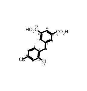 O=C(O)c1cc(Cc2ccc(Cl)cc2Cl)cc(C(=O)O)c1